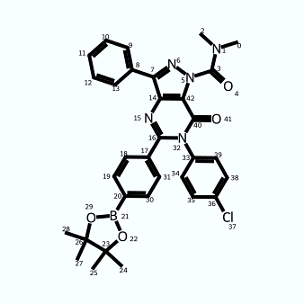 CN(C)C(=O)n1nc(-c2ccccc2)c2nc(-c3ccc(B4OC(C)(C)C(C)(C)O4)cc3)n(-c3ccc(Cl)cc3)c(=O)c21